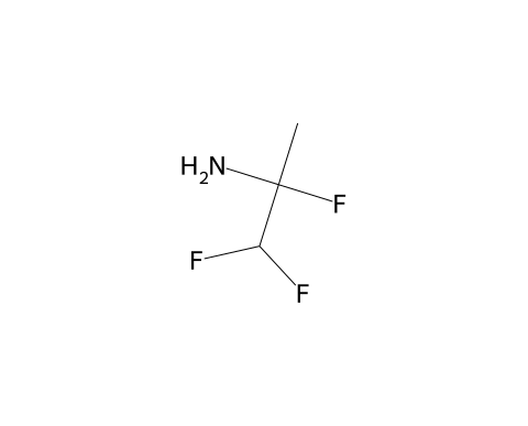 CC(N)(F)C(F)F